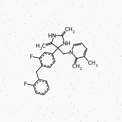 C=C1NC(=C)C(CN2C=CC=C(C)C2=C)(c2ccc(Cc3ccccc3F)c(F)c2)N1